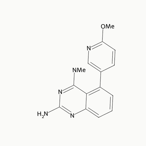 CNc1nc(N)nc2cccc(-c3ccc(OC)nc3)c12